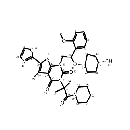 COc1ccccc1[C@H](Cn1c(=O)n(C(C)(C)C(=O)N2CCCCC2)c(=O)c2c(C)c(-c3ncco3)sc21)O[C@H]1CC[C@@H](O)CC1